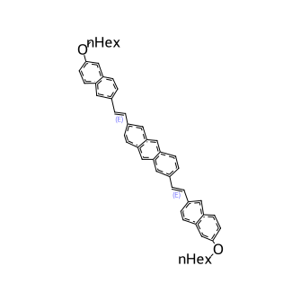 CCCCCCOc1ccc2cc(/C=C/c3ccc4cc5cc(/C=C/c6ccc7cc(OCCCCCC)ccc7c6)ccc5cc4c3)ccc2c1